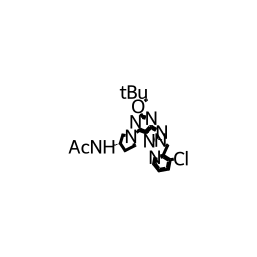 CC(=O)N[C@H]1CCN(c2nc(OCC(C)(C)C)nc3nn(Cc4ncccc4Cl)nc23)C1